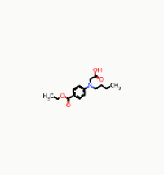 CCCCN(CC(=O)O)c1ccc(C(=O)OCC)cc1